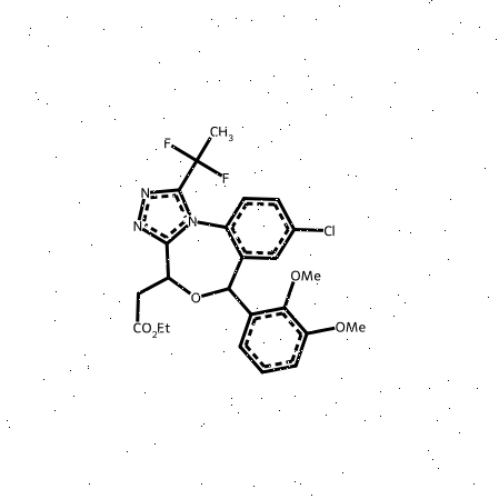 CCOC(=O)CC1OC(c2cccc(OC)c2OC)c2cc(Cl)ccc2-n2c1nnc2C(C)(F)F